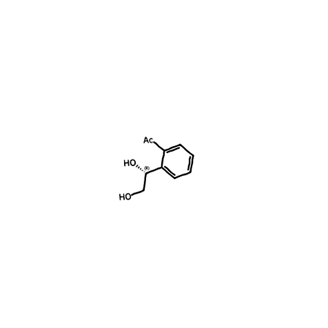 CC(=O)c1ccccc1[C@@H](O)CO